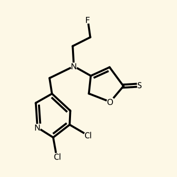 FCCN(Cc1cnc(Cl)c(Cl)c1)C1=CC(=S)OC1